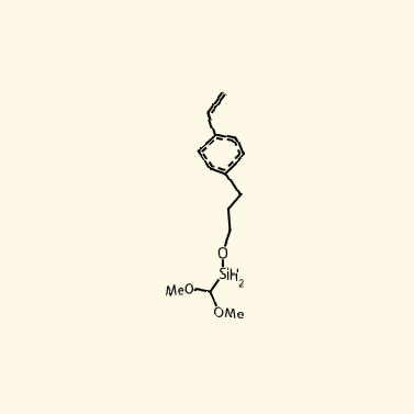 C=Cc1ccc(CCCO[SiH2]C(OC)OC)cc1